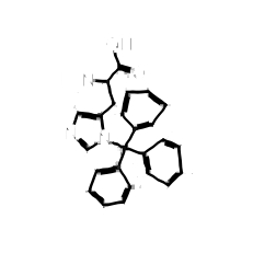 NC(Cc1cncn1C(c1ccccc1)(c1ccccc1)c1ccccc1)C(=O)O